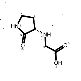 O=C(O)CN[C@H]1CCNC1=O